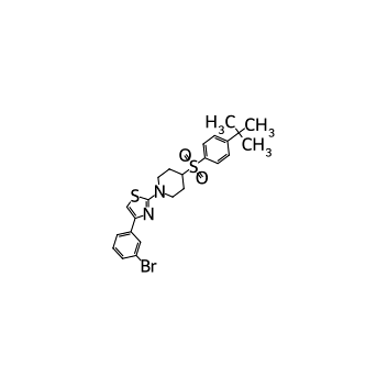 CC(C)(C)c1ccc(S(=O)(=O)C2CCN(c3nc(-c4cccc(Br)c4)cs3)CC2)cc1